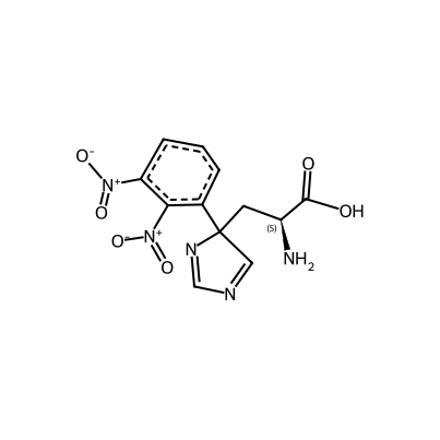 N[C@@H](CC1(c2cccc([N+](=O)[O-])c2[N+](=O)[O-])C=NC=N1)C(=O)O